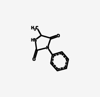 CC1NC(=O)N(c2ccccc2)C1=O